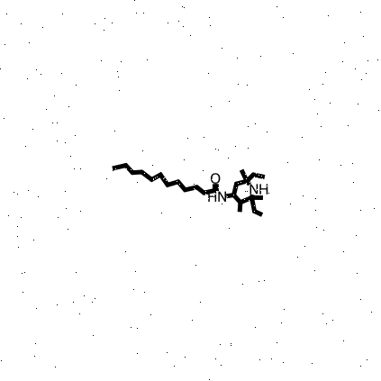 CCCCCCCCCCCC(=O)NC1CC(C)(CC)NC(C)(CC)C1C